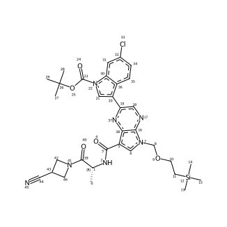 C[C@@H](NC(=O)c1cn(COCC[Si](C)(C)C)c2ncc(-c3cn(C(=O)OC(C)(C)C)c4cc(Cl)ccc34)nc12)C(=O)N1CC(C#N)C1